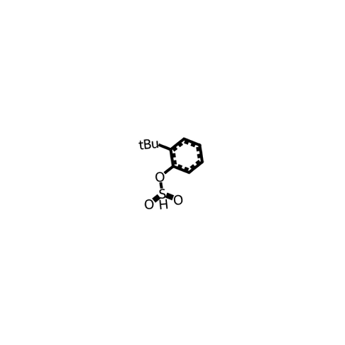 CC(C)(C)c1ccccc1O[SH](=O)=O